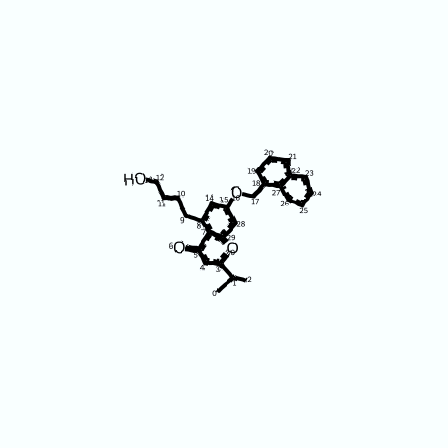 CC(C)c1cc(=O)c2c(CCCCO)cc(OCc3cccc4ccccc34)cc2o1